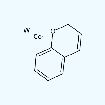 C1=Cc2ccccc2OC1.[Co].[W]